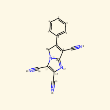 N#CC1=C(c2ccccc2)Cn2c1nc(C#N)c2C#N